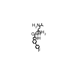 CC(C)C(N)CC[C@H](N)CNC(=O)c1cc2ccc(-c3ccc(F)cc3)cc2[nH]1